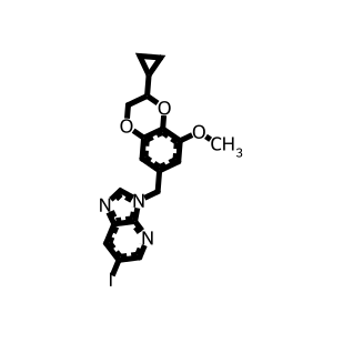 COc1cc(Cn2cnc3cc(I)cnc32)cc2c1OC(C1CC1)CO2